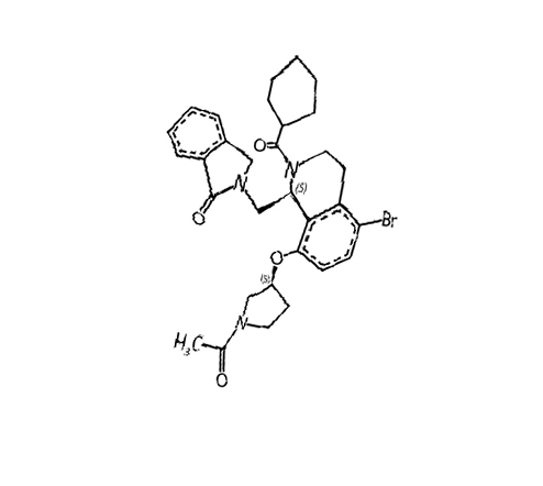 CC(=O)N1CC[C@H](Oc2ccc(Br)c3c2[C@@H](CN2Cc4ccccc4C2=O)N(C(=O)C2CCCCC2)CC3)C1